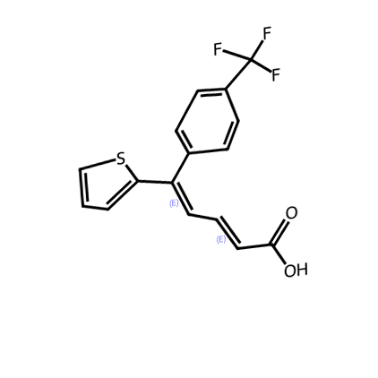 O=C(O)/C=C/C=C(\c1ccc(C(F)(F)F)cc1)c1cccs1